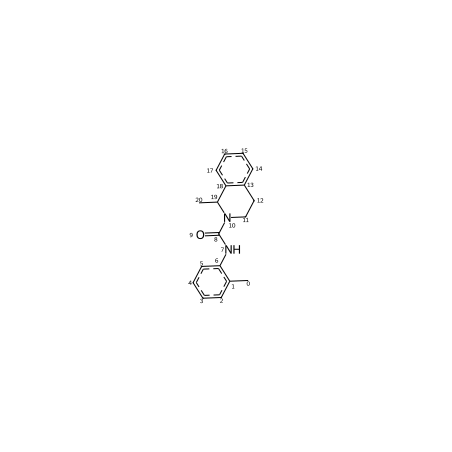 Cc1ccccc1NC(=O)N1CCc2ccccc2C1C